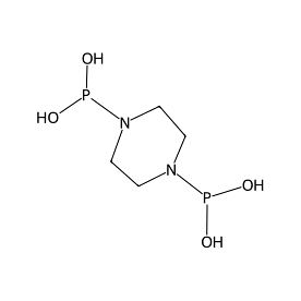 OP(O)N1CCN(P(O)O)CC1